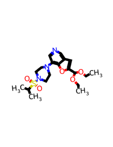 CCOC(OCC)c1cc2cncc(N3CCN(S(=O)(=O)C(C)C)CC3)c2o1